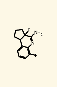 NC1=Nc2c(F)cccc2C2CCCC12F